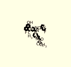 CCc1c(F)ccc2cc(O)cc(N3CCc4c(nc(OC[C@@]56CCCN5C[C@H](F)C6)nc4N4CCCn5nc(C(=O)N(CC)CC)cc5C4)C3)c12